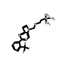 C[Si](C)(C)CCOCn1ccc2nc(-c3ccccc3C(F)(F)F)ncc21